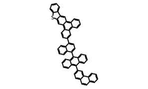 c1ccc2c(c1)ccc1ccc(-c3c4ccccc4c(-c4ccc(-c5ccc6c(c5)c5ccccc5c5cc7c(cc65)sc5ccccc57)c5ccccc45)c4ccccc34)cc12